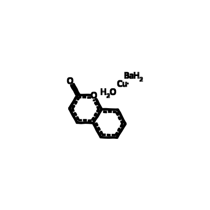 O.O=c1ccc2ccccc2o1.[BaH2].[Cu]